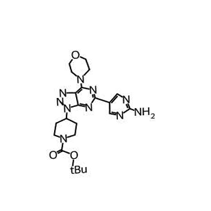 CC(C)(C)OC(=O)N1CCC(n2nnc3c(N4CCOCC4)nc(-c4cnc(N)nc4)nc32)CC1